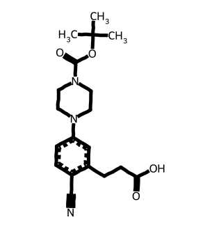 CC(C)(C)OC(=O)N1CCN(c2ccc(C#N)c(CCC(=O)O)c2)CC1